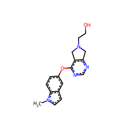 Cn1ccc2cc(Oc3ncnc4c3CN(CCO)C4)ccc21